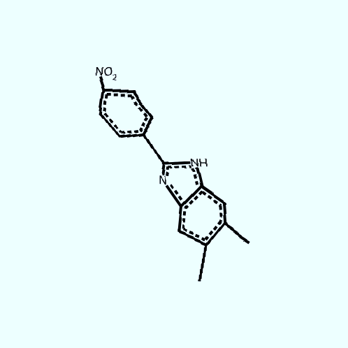 Cc1cc2nc(-c3ccc([N+](=O)[O-])cc3)[nH]c2cc1C